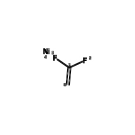 C=C(F)F.[Ni]